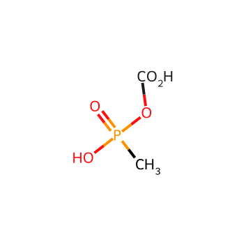 CP(=O)(O)OC(=O)O